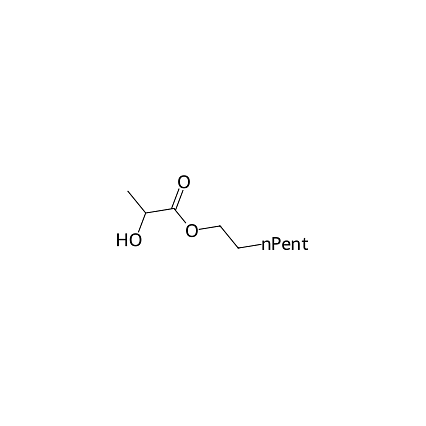 CCCCCCCOC(=O)C(C)O